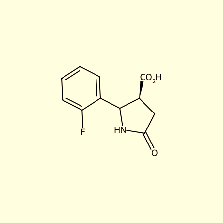 O=C1C[C@H](C(=O)O)C(c2ccccc2F)N1